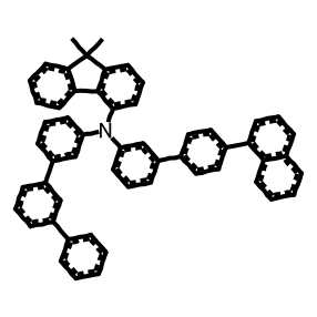 CC1(C)c2ccccc2-c2c(N(c3cccc(-c4ccc(-c5cccc6ccccc56)cc4)c3)c3cccc(-c4cccc(-c5ccccc5)c4)c3)cccc21